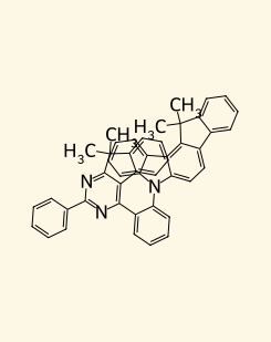 CC1(C)c2ccccc2-c2c(-c3ccccc3-n3c4ccccc4c4c5c(ccc43)-c3ccccc3C5(C)C)nc(-c3ccccc3)nc21